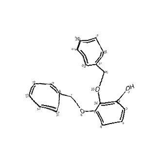 Oc1cccc(OCc2ccccc2)c1OCc1ccccc1